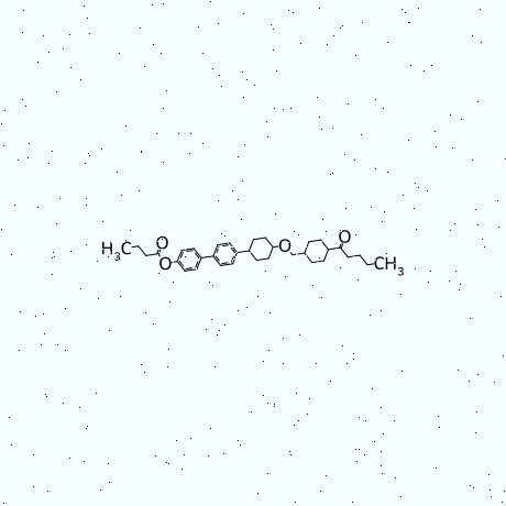 CCCCC(=O)C1CCC(COC2CCC(c3ccc(-c4ccc(OC(=O)CCC)cc4)cc3)CC2)CC1